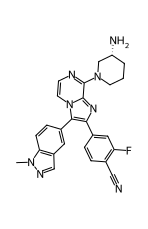 Cn1ncc2cc(-c3c(-c4ccc(C#N)c(F)c4)nc4c(N5CCC[C@@H](N)C5)nccn34)ccc21